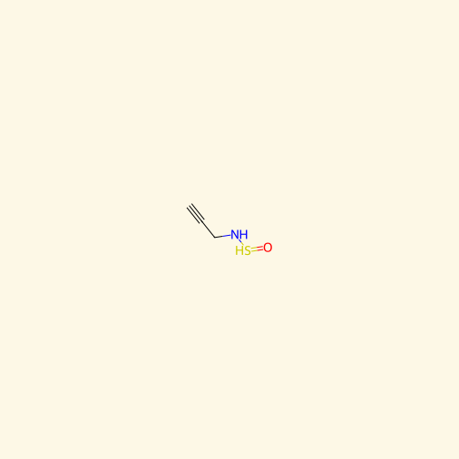 C#CCN[SH]=O